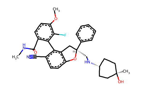 CNC(=O)c1ccc(OC)c(F)c1-c1c(C#N)ccc2c1C[C@@](CN[C@H]1CC[C@](C)(O)CC1)(c1ccccc1)O2